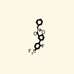 O=C1c2cc(-c3ccc(C(F)(F)F)cc3F)ccc2OCN1Cc1ccccc1